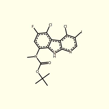 CN(C(=O)OC(C)(C)C)c1cc(F)c(Cl)c2c1[nH]c1ncc(I)c(Cl)c12